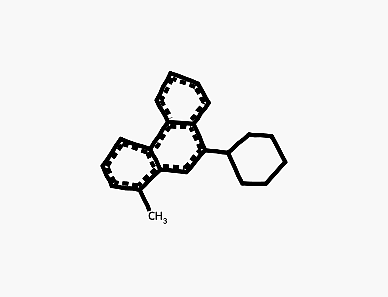 Cc1cccc2c1cc(C1CCCCC1)c1ccccc12